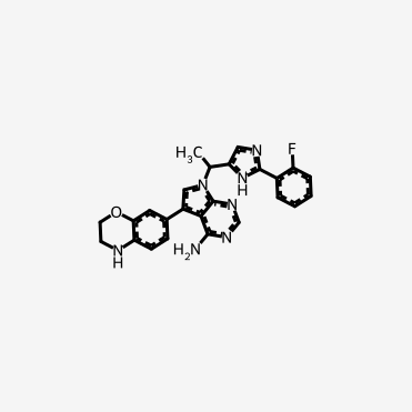 CC(c1cnc(-c2ccccc2F)[nH]1)n1cc(-c2ccc3c(c2)OCCN3)c2c(N)ncnc21